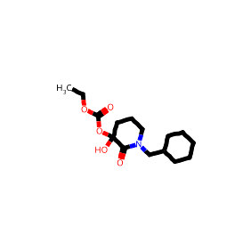 CCOC(=O)OC1(O)CCCN(CC2CCCCC2)C1=O